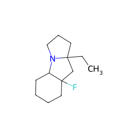 CCC12CCCN1C1CCCCC1(F)C2